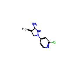 C=C1CN(c2ccnc(Cl)c2)NC1N